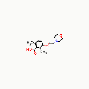 Cc1ccc(OCCN2CCOCC2)c(C)c1C(=O)O